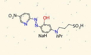 CCCN(CCCS(=O)(=O)O)c1ccc(N=Nc2ccc([N+](=O)[O-])cn2)c(O)c1.[NaH]